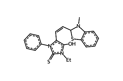 CCn1c(O)c(/C=C\C2Sc3ccccc3N2C)n(-c2ccccc2)c1=S